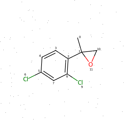 CC1(c2ccc(Cl)cc2Cl)CO1